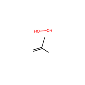 C=C(C)C.OO